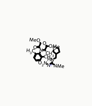 CN/C(=N/[N+](=O)[O-])NCC1CCOC1.COCC(=O)N(c1c(C)cccc1C)[C@H](C)C(=O)OC